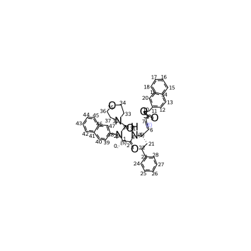 C[C@@H](C(=O)N[C@H](/C=C/S(=O)(=O)c1ccc2ccccc2c1)CCc1ccccc1)N(C(=O)N1CCOCC1)c1ccc2ccccc2c1